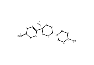 CCCC[C@H]1CC=C([C@]2(C#N)CC[C@@H](C3CCC(CCC)CC3)CC2)CC1